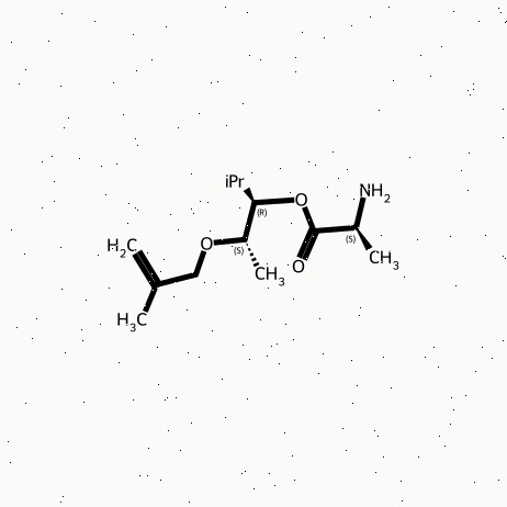 C=C(C)CO[C@@H](C)[C@H](OC(=O)[C@H](C)N)C(C)C